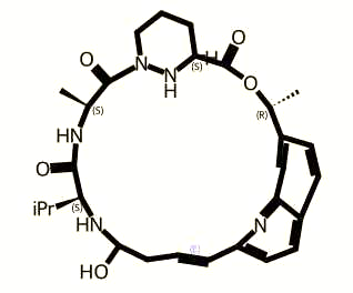 CC(C)[C@@H]1NC(O)C/C=C/c2ccc3ccc(cc3n2)[C@@H](C)OC(=O)[C@@H]2CCCN(N2)C(=O)[C@H](C)NC1=O